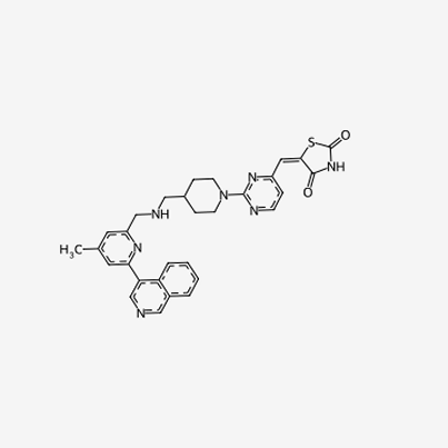 Cc1cc(CNCC2CCN(c3nccc(C=C4SC(=O)NC4=O)n3)CC2)nc(-c2cncc3ccccc23)c1